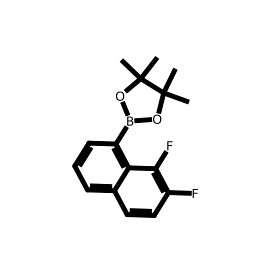 CC1(C)OB(c2cccc3ccc(F)c(F)c23)OC1(C)C